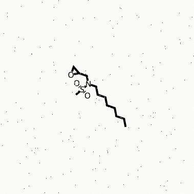 CCCCCCCCN(CC1CO1)S(C)(=O)=O